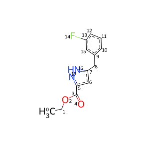 CCOC(=O)c1cc(Cc2cccc(F)c2)[nH]n1